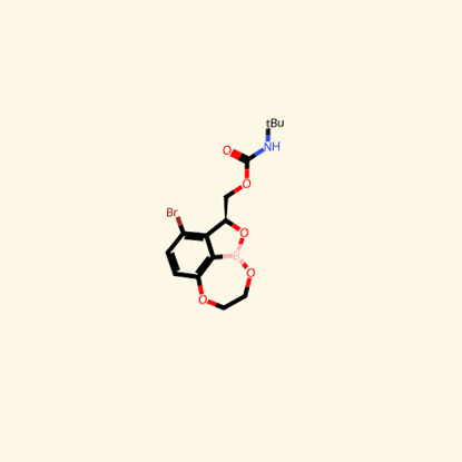 CC(C)(C)NC(=O)OC[C@H]1OB2OCCOc3ccc(Br)c1c32